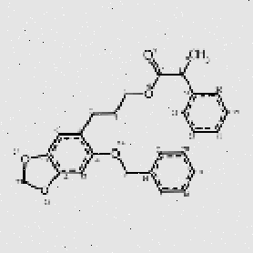 CC(C(=O)OCCCc1cc2c(cc1OCc1ccccc1)OCO2)c1ccccc1